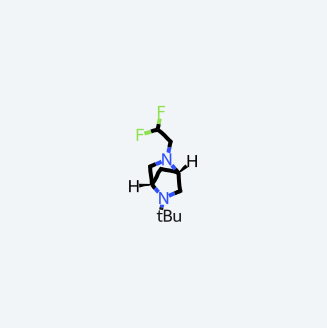 CC(C)(C)N1C[C@@H]2C[C@H]1CN2CC(F)F